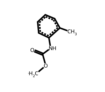 [CH2]OC(=O)Nc1ccccc1C